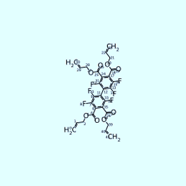 C=CCOC(=O)c1c(F)c(F)c(-c2c(F)c(F)c(C(=O)OCC=C)c(C(=O)OCC=C)c2F)c(F)c1C(=O)OCC=C